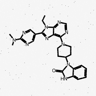 CCn1c(-c2cnc(N(C)C)nc2)nc2c(N3CCC(n4c(=O)[nH]c5ccccc54)CC3)ncnc21